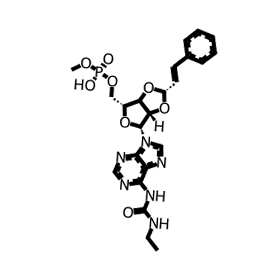 CCNC(=O)Nc1ncnc2c1ncn2[C@@H]1O[C@H](COP(=O)(O)OC)C2O[C@H](/C=C/c3ccccc3)O[C@@H]21